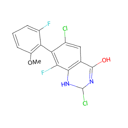 COc1cccc(F)c1-c1c(Cl)cc2c(c1F)NC(Cl)N=C2O